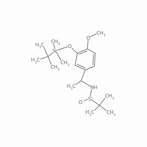 COc1ccc(C(C)N[S+]([O-])C(C)(C)C)cc1O[Si](C)(C)C(C)(C)C